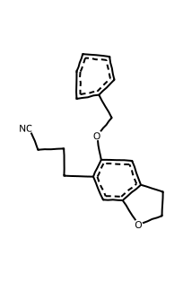 N#CCCCc1cc2c(cc1OCc1ccccc1)CCO2